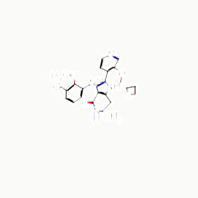 COc1c(Cl)cccc1Nc1c(-c2ccncc2OC[C@@H]2CCO2)[nH]c2c1C(=O)N[C@@H](C)C2